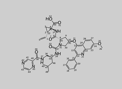 C=C[C@@H]1C[C@]1(NC(=O)[C@@H]1C[C@@H](Oc2cc(-c3ccccc3)nc3cc(OC)ccc23)CN1C(=O)N[C@H](CNC(=O)c1cnccn1)CC(C)C)C(=O)O